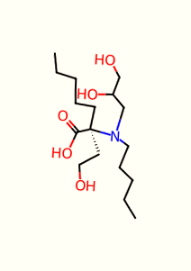 CCCCCN(CC(O)CO)[C@](CCO)(CCCCC)C(=O)O